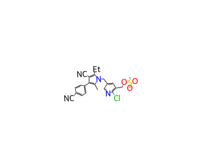 CCc1c(C#N)c(-c2ccc(C#N)cc2)c(C)n1Cc1cnc(Cl)c(COS(C)(=O)=O)c1